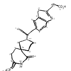 O=C(O)Nc1nc2ccc(C(=O)N3CCC4(CCC(=O)NC4=O)C3)cc2s1